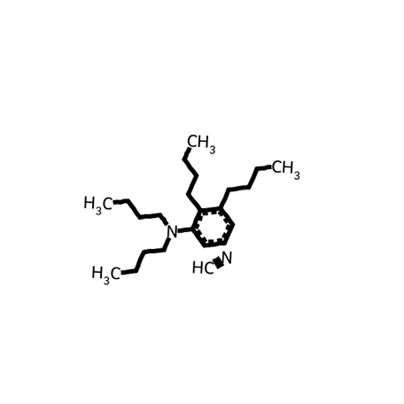 C#N.CCCCc1cccc(N(CCCC)CCCC)c1CCCC